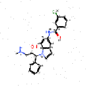 CNC[C@H](O)[C@H](c1ccccc1)n1ccc2cc(NC(=O)c3cccc(Cl)c3)ccc21